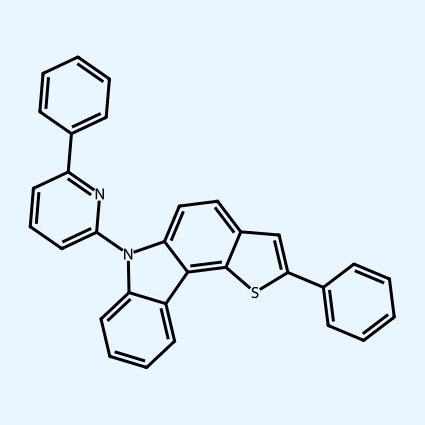 c1ccc(-c2cccc(-n3c4ccccc4c4c5sc(-c6ccccc6)cc5ccc43)n2)cc1